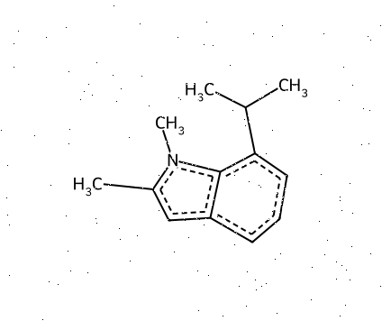 Cc1cc2cccc(C(C)C)c2n1C